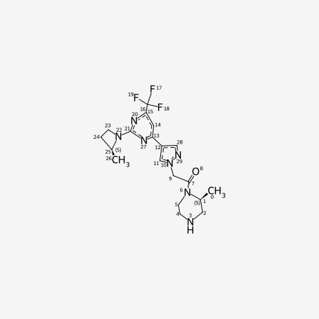 C[C@H]1CNCCN1C(=O)Cn1cc(-c2cc(C(F)(F)F)nc(N3CC[C@@H]3C)n2)cn1